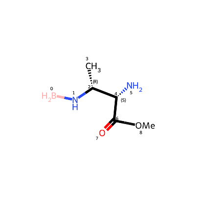 BN[C@H](C)[C@H](N)C(=O)OC